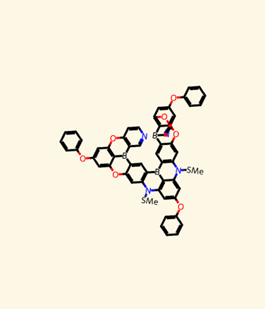 CSN1c2cc3c(cc2B2c4cc5c(cc4N(SC)c4cc(Oc6ccccc6)cc1c42)Oc1cc(Oc2ccccc2)cc2c1B5c1cnccc1O2)B1c2cnccc2Oc2cc(Oc4ccccc4)cc(c21)O3